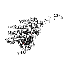 CCCCCCO[C@@H]1OC(C[N+](=O)[O-])[C@@H](O[C@@H]2OC(CO)[C@H](O[C@H]3OC(CO)[C@H](O)[C@H](O[C@@H]4OC(CO)[C@H](O)[C@H](O[C@@H]5OC(CO)[C@H](O)[C@H](O)C5O[C@@H]5OC(C)[C@@H](O)[C@H](O)C5O)C4NC(C)=O)C3O)[C@H](O)C2O)[C@H](O)C1O